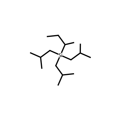 CCC(C)[Si](CC(C)C)(CC(C)C)CC(C)C